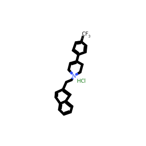 Cl.FC(F)(F)c1ccc(C2=CCN(CCc3ccc4ccccc4c3)CC2)cc1